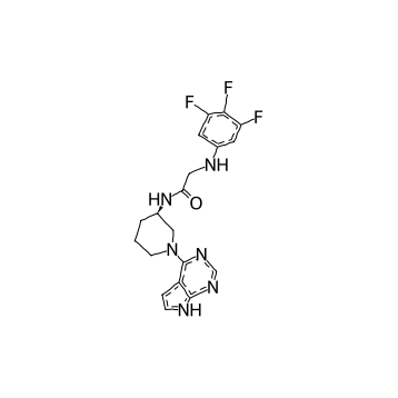 O=C(CNc1cc(F)c(F)c(F)c1)N[C@@H]1CCCN(c2ncnc3[nH]ccc23)C1